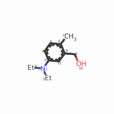 CCN(CC)c1ccc(C)c(CO)c1